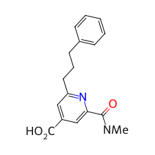 CNC(=O)c1cc(C(=O)O)cc(CCCc2ccccc2)n1